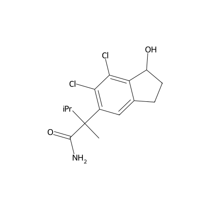 CC(C)C(C)(C(N)=O)c1cc2c(c(Cl)c1Cl)C(O)CC2